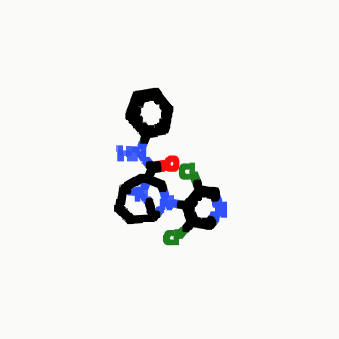 O=C(Nc1ccccc1)N1CC2CCC1CCN2c1c(Cl)cncc1Cl